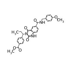 CCC(c1ccc(C(=O)OC)cc1)n1c(=O)[nH]c2ccc(C(=O)NCc3ccc(OC)cc3)cc2c1=O